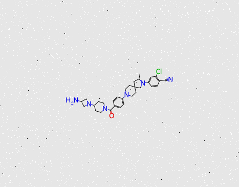 CC1CC2(CCN(c3ccc(C(=O)N4CCC(N5CC(N)C5)CC4)cc3)CC2)CN1c1ccc(C#N)c(Cl)c1